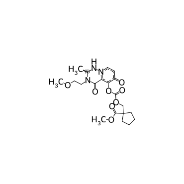 COCCN1C(=O)c2c(OC(=O)OCC3(C(=O)OC)CCCC3)c(=O)ccn2N[C@@H]1C